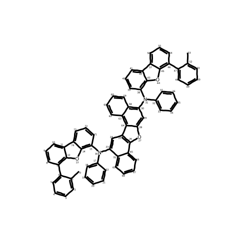 Cc1ccccc1-c1cccc2c1oc1c(N(c3ccccc3)c3cc4c(oc5cc(N(c6ccccc6)c6cccc7c6oc6c(-c8ccccc8C)cccc67)c6ccccc6c54)c4ccccc34)cccc12